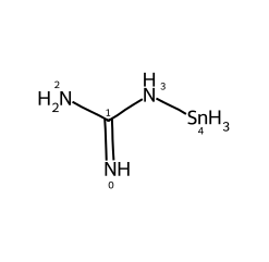 N=C(N)[NH][SnH3]